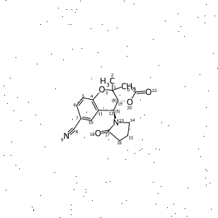 CC1(C)Oc2ccc(C#N)cc2[C@H](N2CCCC2=O)[C@H]1OC=O